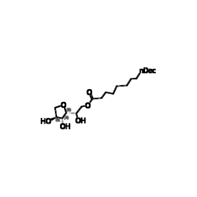 CCCCCCCCCCCCCCCCCC(=O)OCC(O)[C@H]1OC[C@H](O)[C@H]1O